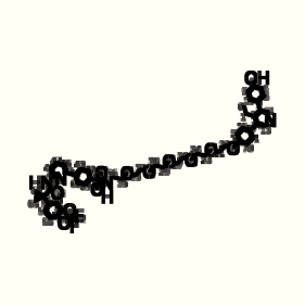 CCc1c(-c2ccc(O)cc2)cncc1-c1ccc(OCCOCCOCCOCCOCCOCCNS(=O)(=O)c2ccc(-c3cccc(NC(=O)C4(c5ccc6c(c5)OC(F)(F)O6)CC4)n3)cc2)cc1